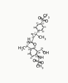 C[C@@H](NC(=O)C1CC1(C)c1ccc(S(=O)(=O)C(F)(F)F)cc1)c1ccc(NS(C)(=O)=O)c(CO)c1